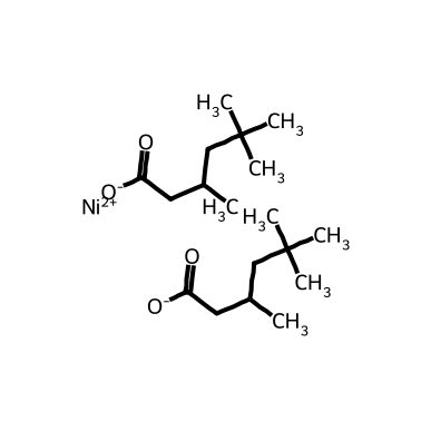 CC(CC(=O)[O-])CC(C)(C)C.CC(CC(=O)[O-])CC(C)(C)C.[Ni+2]